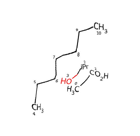 CC(=O)O.CC(C)O.CCCCCCC